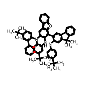 CC(C)(C)c1ccc(Nc2cc3c(cc2-c2c4c(cc5c2oc2ccccc25)N(c2ccc(C(C)(C)C)cc2-c2ccccc2)c2ccc(C(C)(C)C)cc2B4)-c2ccccc2C3(C)C)cc1